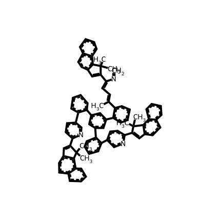 C=N/C(=C\C=C(/C)c1ccccc1-c1cc(-c2ccccc2-c2ccc(C3=Cc4ccc5ccccc5c4C3(C)C)nc2)cc(-c2ccccc2-c2ccc(C3=Cc4ccc5ccccc5c4C3(C)C)nc2)c1)C1=Cc2ccc3ccccc3c2C1(C)C